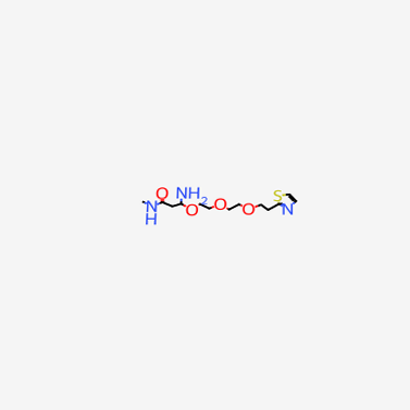 CNC(=O)CC(N)OCCOCCOCCc1nccs1